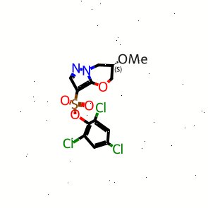 CO[C@@H]1COc2c(S(=O)(=O)Oc3c(Cl)cc(Cl)cc3Cl)cnn2C1